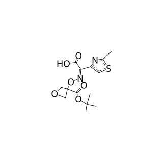 Cc1nc(/C(=N/OC2(C(=O)OC(C)(C)C)COC2)C(=O)O)cs1